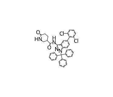 O=C1CCC(C(=O)Nc2nn(C(c3ccccc3)(c3ccccc3)c3ccccc3)c3ccc(-c4c(Cl)cccc4Cl)cc23)CN1